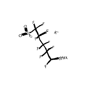 CCCCCCC(F)C(F)(F)C(F)(F)C(F)(F)C(F)(F)S(=O)(=O)[O-].[K+]